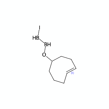 IBBOC1CC/C=C/CCC1